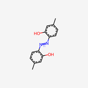 Cc1ccc(/N=N/c2ccc(C)cc2O)c(O)c1